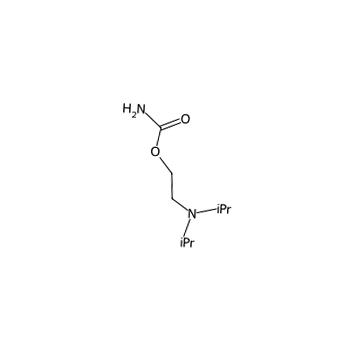 CC(C)N(CCOC(N)=O)C(C)C